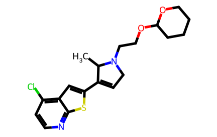 CC1C(c2cc3c(Cl)ccnc3s2)=CCN1CCOC1CCCCO1